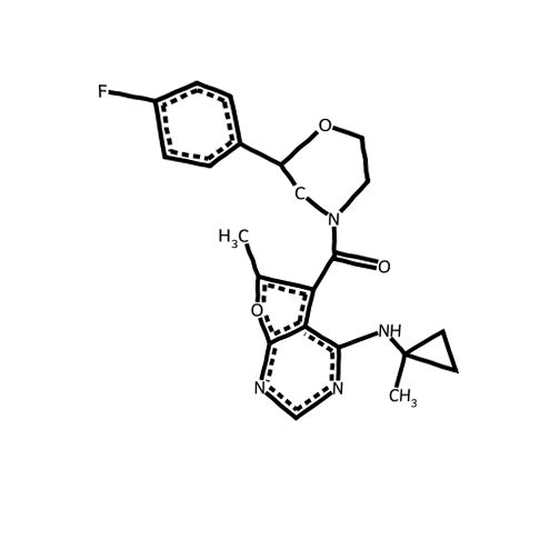 Cc1oc2ncnc(NC3(C)CC3)c2c1C(=O)N1CCOC(c2ccc(F)cc2)C1